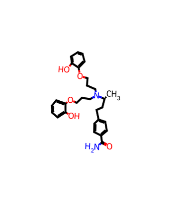 C[C@@H](CCc1ccc(C(N)=O)cc1)N(CCCOc1ccccc1O)CCCOc1ccccc1O